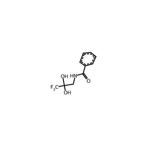 O=C(NCC(O)(O)C(F)(F)F)c1ccccc1